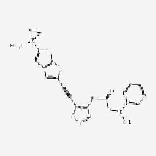 CC(OC(=O)Nc1cnoc1C#Cc1cc2cc(C3(C(=O)O)CC3)sc2s1)c1ccccc1